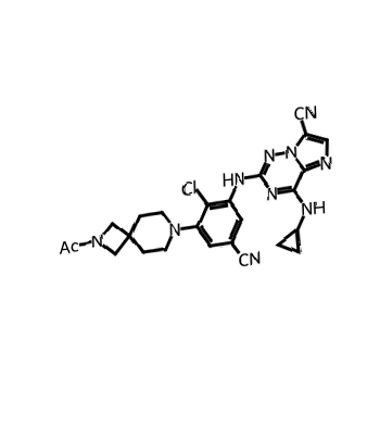 CC(=O)N1CC2(CCN(c3cc(C#N)cc(Nc4nc(NC5CC5)c5ncc(C#N)n5n4)c3Cl)CC2)C1